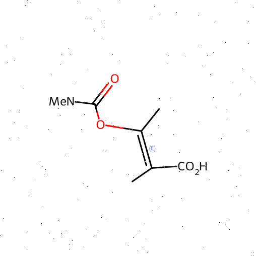 CNC(=O)O/C(C)=C(\C)C(=O)O